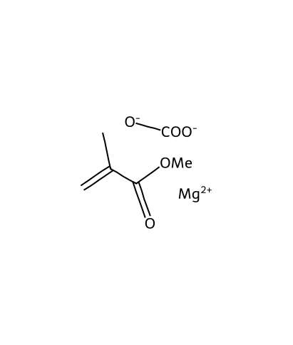 C=C(C)C(=O)OC.O=C([O-])[O-].[Mg+2]